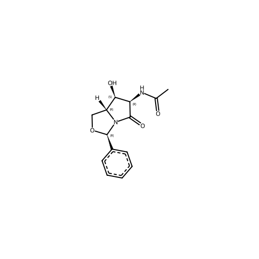 CC(=O)N[C@H]1C(=O)N2[C@@H](c3ccccc3)OC[C@@H]2[C@H]1O